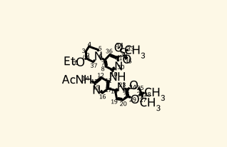 CCO[C@H]1CCCN(c2cc(Nc3cc(NC(C)=O)ncc3-c3ccc4c(n3)OCC(C)(C)O4)nc(S(C)(=O)=O)c2)C1